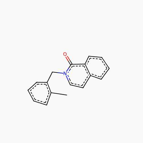 Cc1ccccc1Cn1ccc2ccccc2c1=O